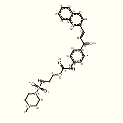 CN1CCN(S(=O)(=O)NCCOC(=O)Nc2ccc(C(=O)C=Cc3ccc4ccccc4n3)cc2)CC1